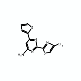 Nc1cc(-c2nccs2)nc(-c2nc(C(F)(F)F)cs2)n1